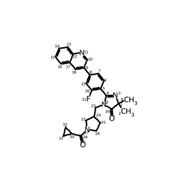 CC1(C)N=C(c2ccc(-c3cnc4ccccc4c3)cc2F)N(CC2CCN(C(=O)C3CC3)C2)C1=O